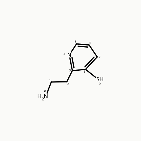 NCCc1ncccc1S